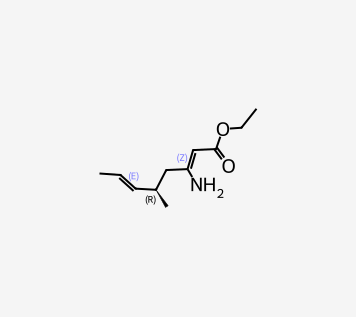 C/C=C/[C@H](C)C/C(N)=C/C(=O)OCC